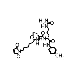 Cc1ccc(NC(=O)[C@H](CCCNC(N)=O)NC(=O)C(NC(=O)CCCCCN2C(=O)C=CC2=O)C(C)C)cc1